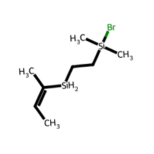 CC=C(C)[SiH2]CC[Si](C)(C)Br